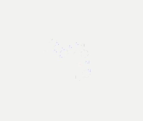 Cc1ccc(NC(=O)c2cc(C(F)(F)F)ccn2)cc1C1=Cc2cnc(Nc3ncccc3Cl)nc2N2CCN=C12